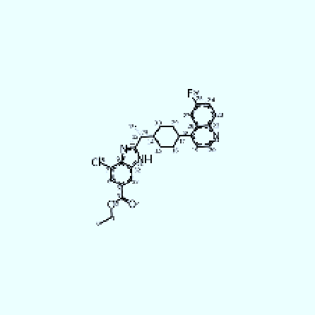 CCOC(=O)c1cc(Cl)c2nc([C@H](C)C3CCC(c4ccnc5ccc(F)cc45)CC3)[nH]c2c1